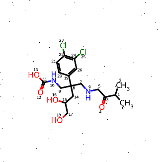 CC(C)C(=O)CNCC(CNC(=O)O)(CC(O)CO)c1ccc(Cl)c(Cl)c1